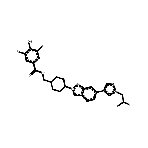 O=C(NCC1CCC(n2cc3ccc(-c4cnn(CC(F)F)c4)cc3n2)CC1)c1cc(F)c(O)c(F)c1